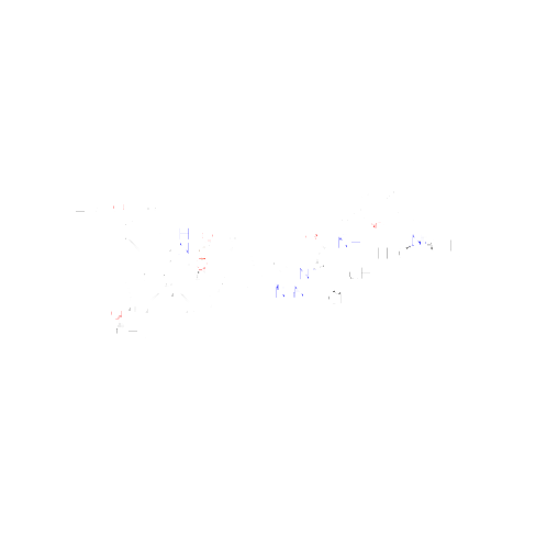 COc1ccc(C(NS(=O)(=O)c2ccc(-c3cn([C@H](C(=O)NCc4ccc(CN(C)C)o4)C(C)C)nn3)cc2)(c2ccccc2)c2ccc(OC)cc2)cc1